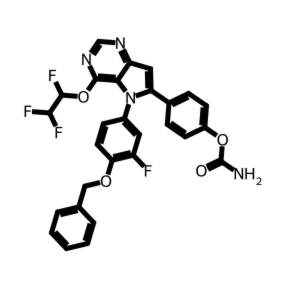 NC(=O)Oc1ccc(-c2cc3ncnc(OC(F)C(F)F)c3n2-c2ccc(OCc3ccccc3)c(F)c2)cc1